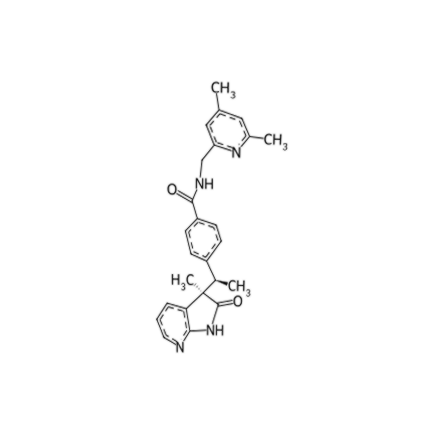 Cc1cc(C)nc(CNC(=O)c2ccc([C@@H](C)[C@@]3(C)C(=O)Nc4ncccc43)cc2)c1